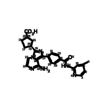 Cc1ccnc(NC(=O)c2ccc(-c3nc([C@H]4CC[C@@H](C(=O)O)C4)n4ccnc(N)c34)cc2)c1